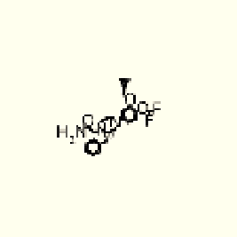 NC(=O)CN1CCN(c2ccc(OC(F)F)c(OCC3CC3)c2)C[C@@H]1Cc1ccccc1